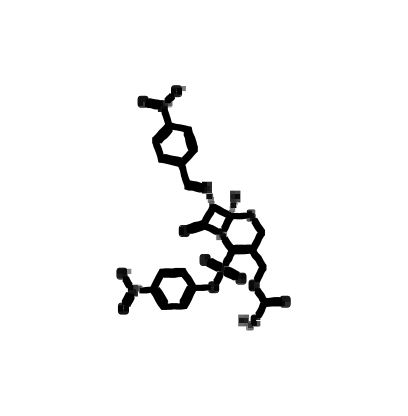 CC(=O)OCC1=C(S(=O)(=O)Oc2ccc([N+](=O)[O-])cc2)N2C(=O)[C@H](/N=C/c3ccc([N+](=O)[O-])cc3)[C@H]2SC1